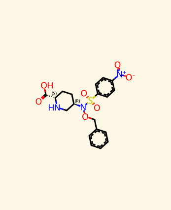 O=C(O)[C@@H]1CC[C@@H](N(OCc2ccccc2)S(=O)(=O)c2ccc([N+](=O)[O-])cc2)CN1